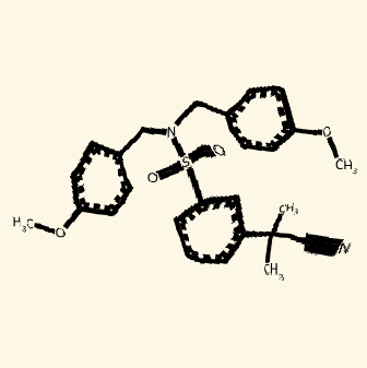 COc1ccc(CN(Cc2ccc(OC)cc2)S(=O)(=O)c2cccc(C(C)(C)C#N)c2)cc1